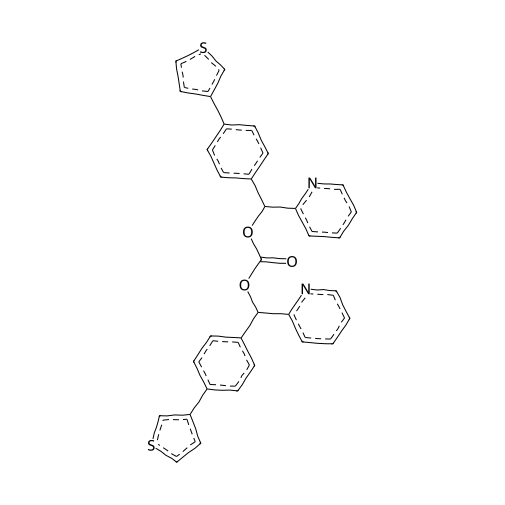 O=C(OC(c1ccc(-c2ccsc2)cc1)c1ccccn1)OC(c1ccc(-c2ccsc2)cc1)c1ccccn1